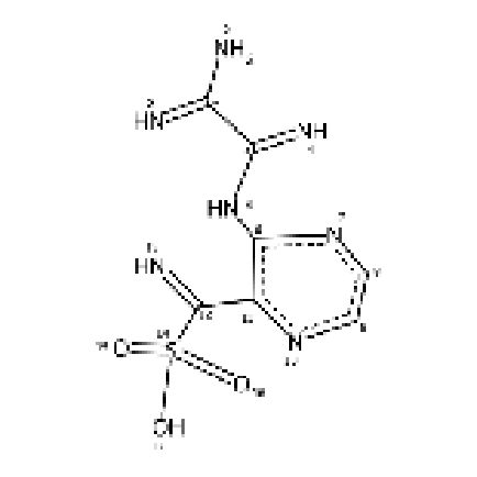 N=C(N)C(=N)Nc1nccnc1C(=N)S(=O)(=O)O